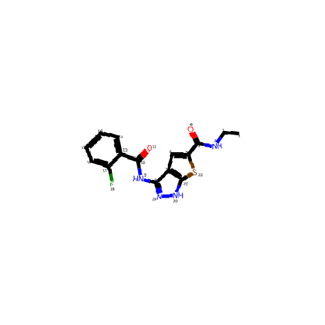 CCNC(=O)c1cc2c(NC(=O)c3ccccc3F)n[nH]c2s1